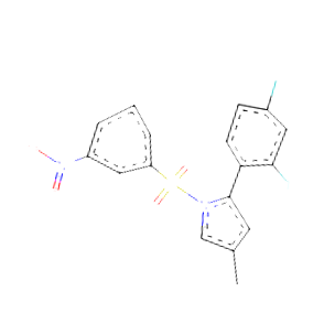 [CH2]c1cc(-c2ccc(F)cc2F)n(S(=O)(=O)c2cccc([N+](=O)[O-])c2)c1